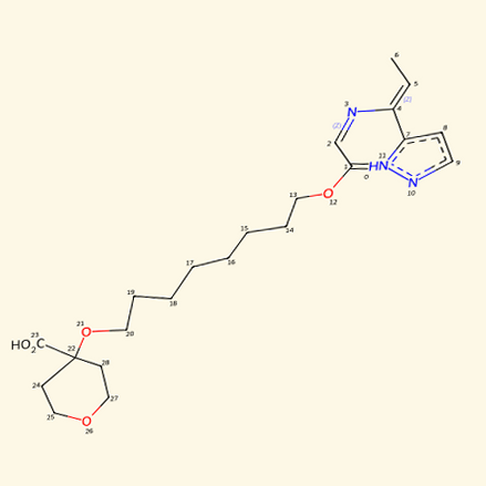 C=C(/C=N\C(=C/C)c1ccn[nH]1)OCCCCCCCCOC1(C(=O)O)CCOCC1